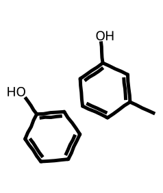 Cc1cccc(O)c1.Oc1ccccc1